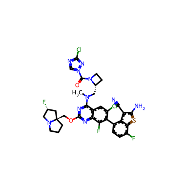 CN(C[C@H]1CCN1C(=O)n1cnc(Cl)n1)c1nc(OC[C@@]23CCCN2C[C@H](F)C3)nc2c(F)c(-c3ccc(F)c4sc(N)c(C#N)c34)c(Cl)cc12